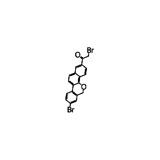 O=C(CBr)c1ccc2c3c(ccc2c1)-c1ccc(Br)cc1CO3